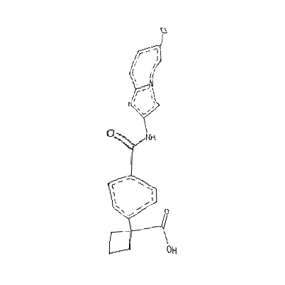 O=C(Nc1cn2cc(Cl)ccc2n1)c1ccc(C2(C(=O)O)CCC2)cc1